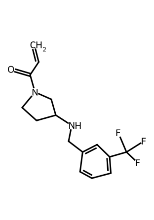 C=CC(=O)N1CCC(NCc2cccc(C(F)(F)F)c2)C1